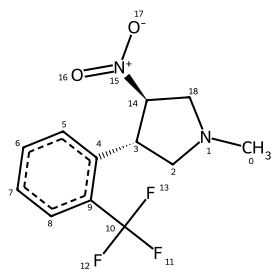 CN1C[C@H](c2ccccc2C(F)(F)F)[C@@H]([N+](=O)[O-])C1